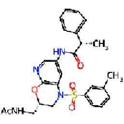 CC(=O)NC[C@H]1CN(S(=O)(=O)c2cccc(C)c2)c2cc(NC(=O)[C@@H](C)c3ccccc3)cnc2O1